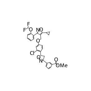 COC(=O)c1cccc(C2=NOC(c3ccc(OCc4c(-c5ccccc5OC(F)F)noc4C4CC4)cc3Cl)C2)c1